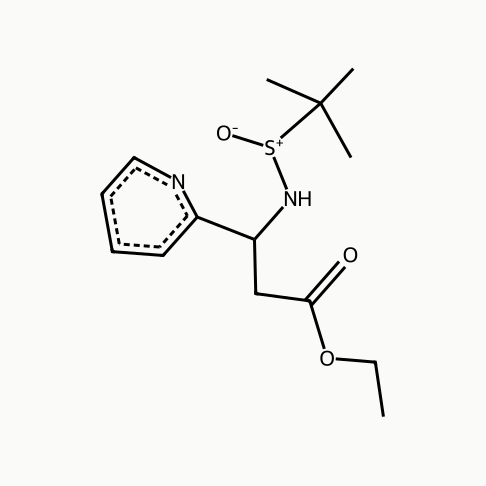 CCOC(=O)CC(N[S+]([O-])C(C)(C)C)c1ccccn1